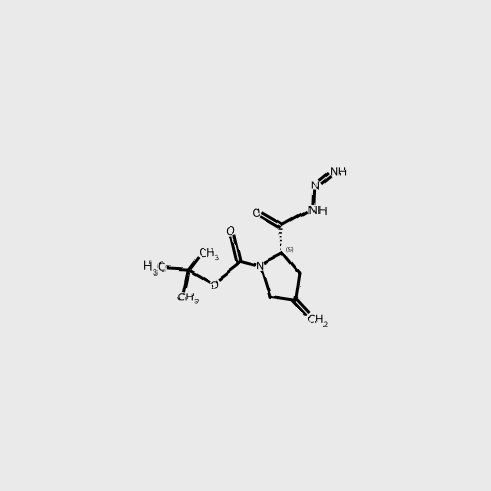 C=C1C[C@@H](C(=O)NN=N)N(C(=O)OC(C)(C)C)C1